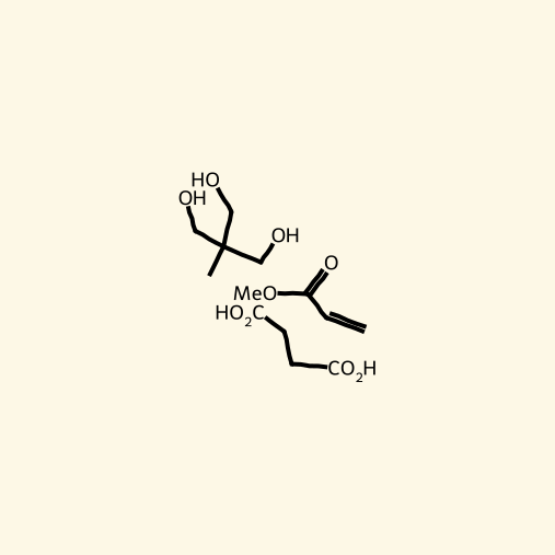 C=CC(=O)OC.CC(CO)(CO)CO.O=C(O)CCC(=O)O